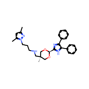 Cc1cc(C)n(CCCNC[C@]2(C)CO[C@H](c3nc(-c4ccccc4)c(-c4ccccc4)[nH]3)OC2)n1